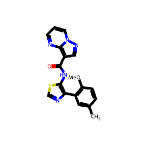 COc1ccc(C)cc1-c1ncsc1NC(=O)c1cnn2cccnc12